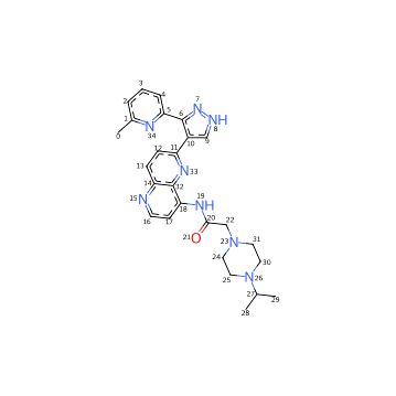 Cc1cccc(-c2n[nH]cc2-c2ccc3nccc(NC(=O)CN4CCN(C(C)C)CC4)c3n2)n1